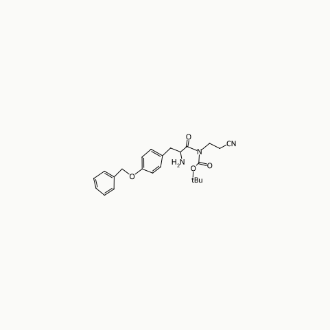 CC(C)(C)OC(=O)N(CCC#N)C(=O)C(N)Cc1ccc(OCc2ccccc2)cc1